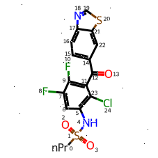 CCCS(=O)(=O)Nc1cc(F)c(F)c(C(=O)c2ccc3ncsc3c2)c1Cl